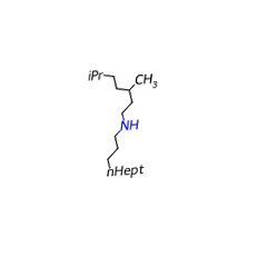 CCCCCCCCCCNCCC(C)CCC(C)C